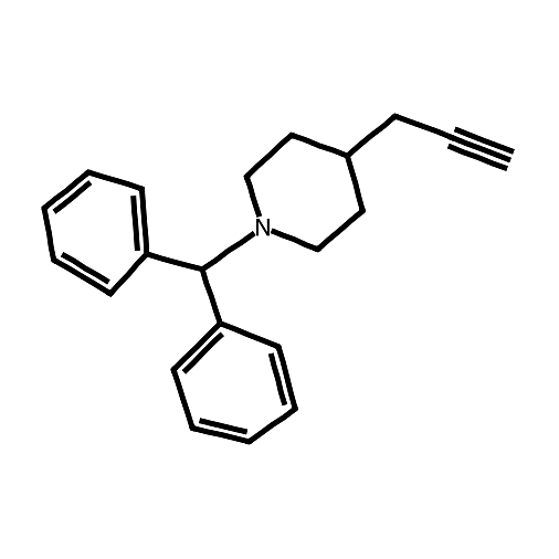 C#CCC1CCN(C(c2ccccc2)c2ccccc2)CC1